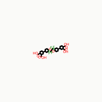 O=C(O)c1ccc(-c2ccc(OC(Oc3ccc(-c4ccc(C(=O)O)c(C(=O)O)c4)cc3)(C(F)(F)F)C(F)(F)F)cc2)cc1C(=O)O